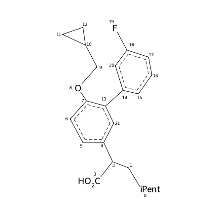 CCCC(C)CC(C(=O)O)c1ccc(OCC2CC2)c(-c2cccc(F)c2)c1